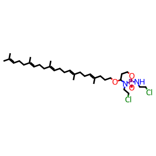 CC(C)=CCC/C(C)=C/CC/C(C)=C/CC/C=C(\C)CC/C=C(\C)CCCOC1CCOP(=O)(NCCCl)N1CCCl